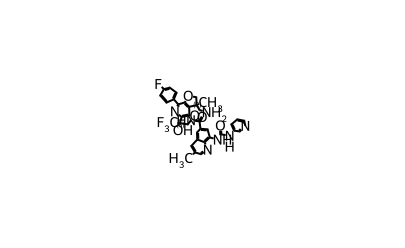 Cc1cnc2c(NC(=O)Nc3cccnc3)cc(C(=O)NC[C@](O)(c3cc4c(c(-c5ccc(F)cc5)n3)OC[C@]4(C)C(N)=O)C(F)(F)F)cc2c1